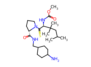 COC(=O)N[C@H](C(=S)N1CCC[C@H]1C(=O)NCC1CCC(N)CC1)C(C)(C)CC(C)C